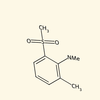 CNc1c(C)cccc1S(C)(=O)=O